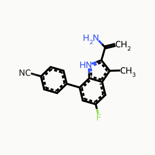 C=C(N)c1[nH]c2c(-c3ccc(C#N)cc3)cc(F)cc2c1C